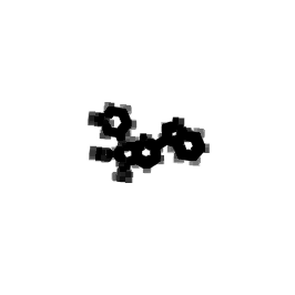 CCN1c2ccc(-c3cnn4ccccc34)nc2N(C2CCCNC2)[C@H]1O